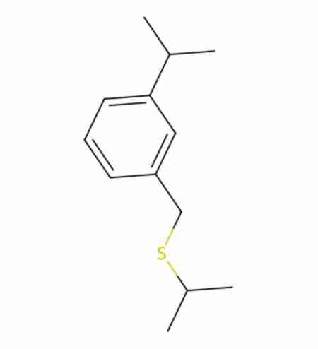 CC(C)SCc1cccc(C(C)C)c1